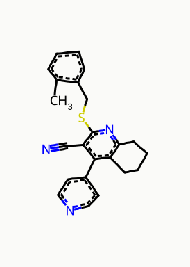 Cc1ccccc1CSc1nc2c(c(-c3ccncc3)c1C#N)CCCC2